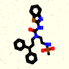 CS(=O)(=O)NCCN(CCC(c1ccccc1)c1ccccc1)C(=O)Nc1nc2ccccc2s1